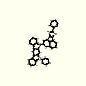 c1ccc(-c2nc3c(o2)-c2cc(-n4c5ccccc5c5cc6c7ccccc7n(-c7ccccc7)c6cc54)cc4cccc-3c24)cc1